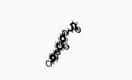 O=C1CCCN1CCCOc1ccc(-n2ccc(OCc3ccc(Cl)cn3)cc2=O)cc1